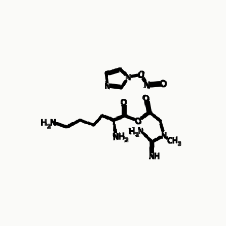 CN(CC(=O)OC(=O)[C@@H](N)CCCCN)C(=N)N.O=NOn1ccnc1